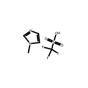 Cn1ccnc1.O=S(=O)(O)C(F)(F)F